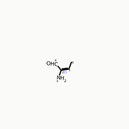 C/C=C(/N)[C]=O